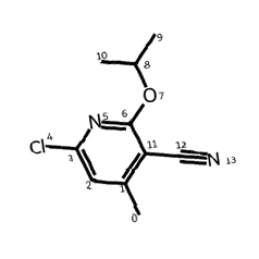 Cc1cc(Cl)nc(OC(C)C)c1C#N